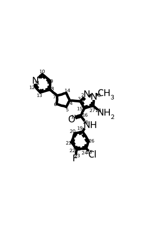 Cn1nc(C2CCC(c3ccncc3)C2)c(C(=O)Nc2ccc(F)c(Cl)c2)c1N